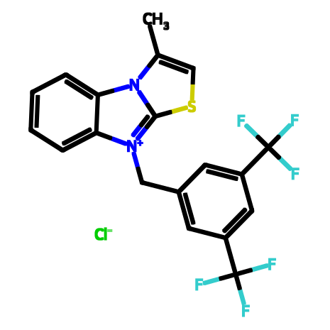 Cc1csc2n1c1ccccc1[n+]2Cc1cc(C(F)(F)F)cc(C(F)(F)F)c1.[Cl-]